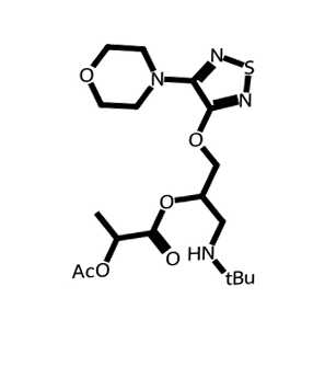 CC(=O)OC(C)C(=O)OC(CNC(C)(C)C)COc1nsnc1N1CCOCC1